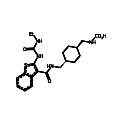 CCNC(=O)Nc1sc2ccccc2c1C(=O)NC[C@H]1CC[C@H](CNC(=O)O)CC1